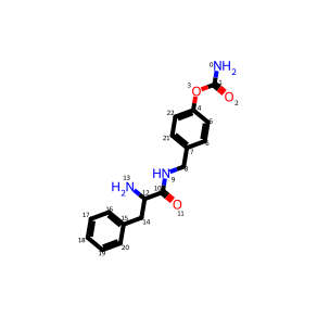 NC(=O)Oc1ccc(CNC(=O)C(N)Cc2ccccc2)cc1